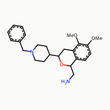 COc1ccc2c(c1OC)CC(C1CCN(Cc3ccccc3)CC1)OC2CN